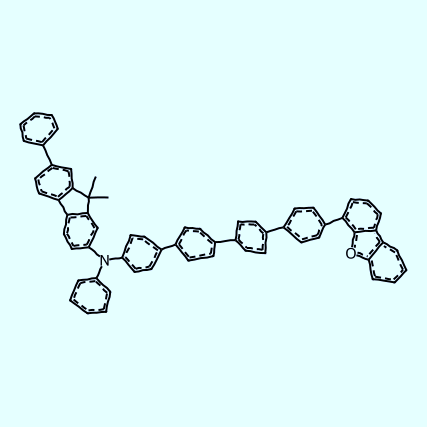 CC1(C)c2cc(-c3ccccc3)ccc2-c2ccc(N(c3ccccc3)c3ccc(-c4ccc(-c5ccc(-c6ccc(-c7cccc8c7oc7ccccc78)cc6)cc5)cc4)cc3)cc21